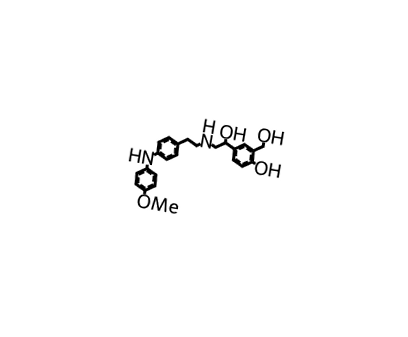 COc1ccc(Nc2ccc(CCNCC(O)c3ccc(O)c(CO)c3)cc2)cc1